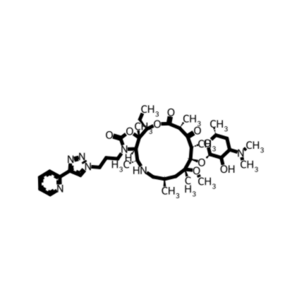 CC[C@H]1OC(=O)[C@H](C)C(=O)[C@H](C)[C@@H](O[C@@H]2O[C@H](C)CC(N(C)C)C2O)[C@](C)(OC)C[C@@H](C)CN[C@H](C)[C@H]2N(CCCn3cc(-c4ccccn4)nn3)C(=O)O[C@]12C